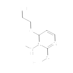 CCCOC1C=CN=C(NC)N1NC